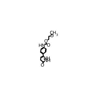 COCCOC(=O)Nc1ccc(C2=CCC(=O)NN2)cc1